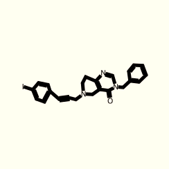 O=c1c2c(ncn1Cc1ccccc1)CCN(CC#Cc1ccc(I)cc1)C2